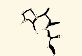 C=CC(=O)OC(=C)C(=C)N1CCOC1=O